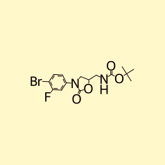 CC(C)(C)OC(=O)NCC1CN(c2ccc(Br)c(F)c2)C(=O)O1